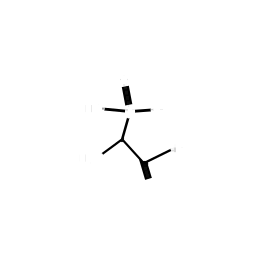 CC(C)C(=O)C(C)P(=O)(O)O